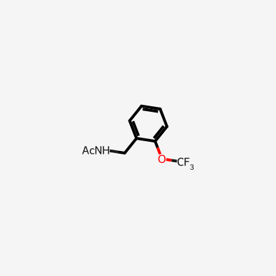 CC(=O)NCc1ccccc1OC(F)(F)F